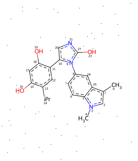 Cc1cn(C)c2ccc(-n3c(-c4cc(C(C)C)c(O)cc4O)cnc3O)cc12